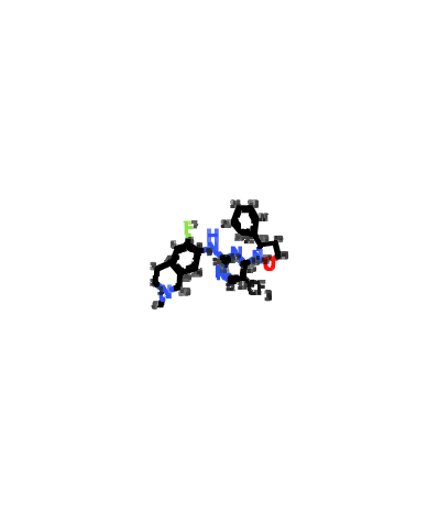 CN1CCc2cc(F)c(Nc3ncc(C(F)(F)F)c(N4OCCC4c4ccccc4)n3)cc2C1